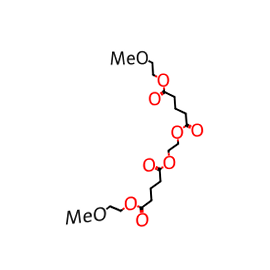 COCCOC(=O)CCCC(=O)OCCOC(=O)CCCC(=O)OCCOC